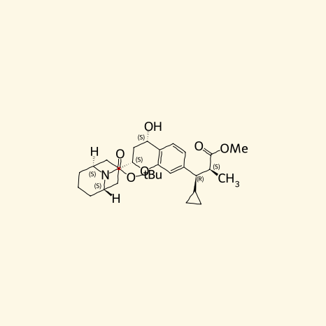 COC(=O)[C@@H](C)[C@H](c1ccc2c(c1)O[C@H](C1C[C@@H]3CCC[C@@H](C1)N3C(=O)OC(C)(C)C)C[C@@H]2O)C1CC1